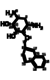 NC1C[C@@H](N)C(OCc2ccc3ccccc3c2)[C@@H](O)[C@@H]1O